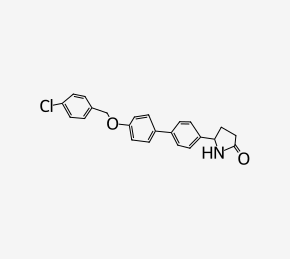 O=C1CCC(c2ccc(-c3ccc(OCc4ccc(Cl)cc4)cc3)cc2)N1